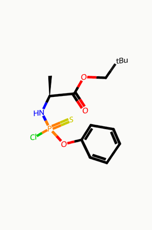 C[C@H](NP(=S)(Cl)Oc1ccccc1)C(=O)OCC(C)(C)C